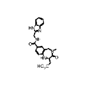 CN1Cc2cc(C(=O)NCc3nc4ccccc4[nH]3)ccc2NC(CC(=O)O)C1=O